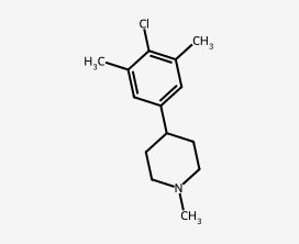 Cc1cc(C2CCN(C)CC2)cc(C)c1Cl